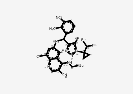 Cc1c(C#N)cccc1C(Nc1cc(Cl)c2ncc(C#N)c(NCC(C)(C)C)c2c1)c1nnn(C2(C(F)F)CC2)c1F